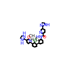 COc1nc(-c2cccc(-c3cccc(NC(=O)c4ccc(C5=NCCN5)cn4)c3C)c2Cl)ccc1C1NCCN1